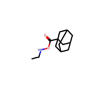 CCNOC(=O)C12CC3CC(CC(C3)C1)C2